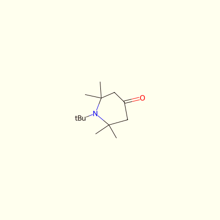 CC(C)(C)N1C(C)(C)CC(=O)CC1(C)C